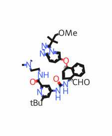 COCC(C)(C)c1nnc2ccc(O[C@@H]3C=C[C@](C=O)(NC(=O)Nc4cc(C(=O)NCCN(C)C)nc(C(C)(C)C)c4)c4ccccc43)cn12